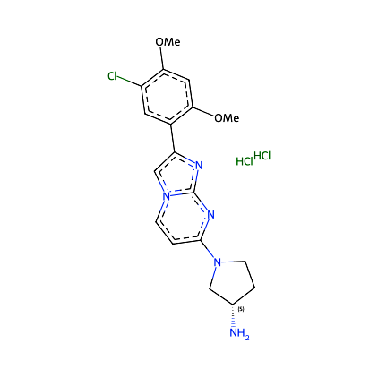 COc1cc(OC)c(-c2cn3ccc(N4CC[C@H](N)C4)nc3n2)cc1Cl.Cl.Cl